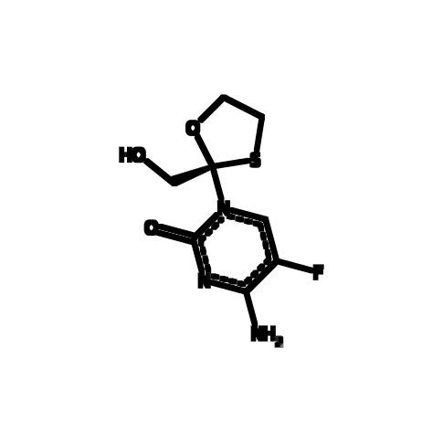 Nc1nc(=O)n([C@]2(CO)OCCS2)cc1F